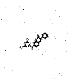 Cc1nc(Cl)nc(Nc2ccc3cc(-c4ccccc4)c(=O)oc3c2)n1